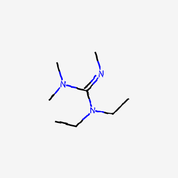 CCN(CC)C(=NC)N(C)C